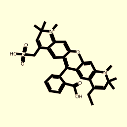 CCC1=CC(C)(C)N(C)c2cc3c(cc21)C(c1ccccc1C(=O)O)=c1cc2c(cc1O3)=[N+](C)C(C)(C)C=C2CS(=O)(=O)O